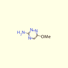 COc1cnc(N)nn1